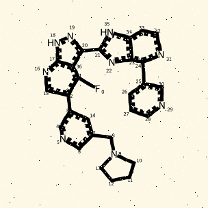 Fc1c(-c2cncc(CN3CCCC3)c2)cnc2[nH]nc(-c3nc4c(-c5cccnc5)nccc4[nH]3)c12